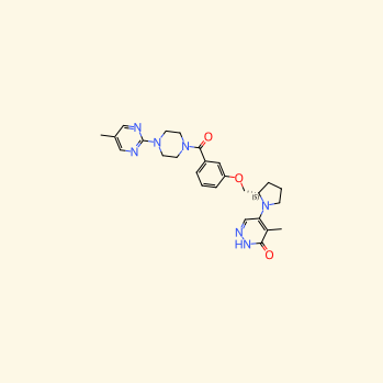 Cc1cnc(N2CCN(C(=O)c3cccc(OC[C@@H]4CCCN4c4cn[nH]c(=O)c4C)c3)CC2)nc1